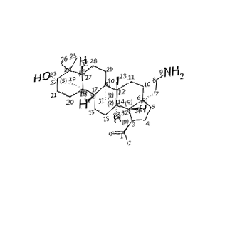 C=C(C)[C@@H]1CC[C@]2(CCN)CC[C@]3(C)[C@H](CC[C@@H]4[C@@]5(C)CC[C@H](O)C(C)(C)[C@@H]5CC[C@]43C)[C@@H]12